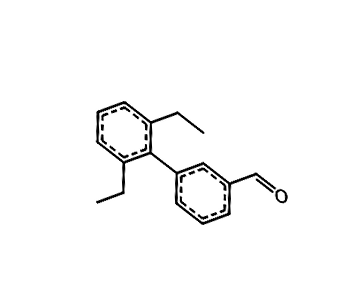 CCc1cccc(CC)c1-c1cccc(C=O)c1